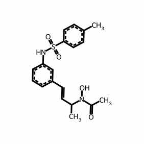 CC(=O)N(O)C(C)/C=C/c1cccc(NS(=O)(=O)c2ccc(C)cc2)c1